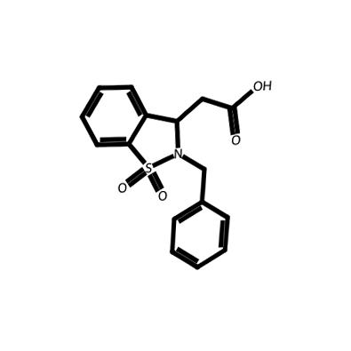 O=C(O)CC1c2ccccc2S(=O)(=O)N1Cc1ccccc1